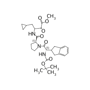 COC(=O)C(=O)C(CC1CC1)NC(=O)[C@@H]1CCCN1C(=O)[C@@H](NC(=O)OC(C)(C)C)C1Cc2ccccc2C1